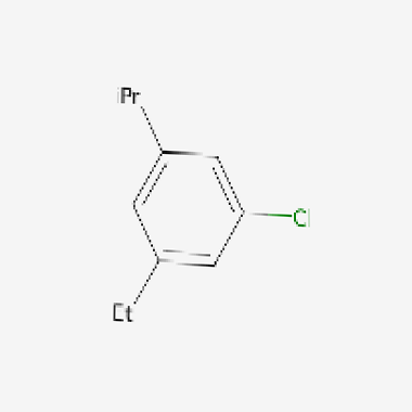 [CH2]C(C)c1cc(Cl)cc(CC)c1